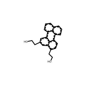 OCCc1cc2c(CCO)ccc3c4cccc5cccc(c(c1)c23)c54